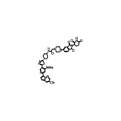 CNc1cc(-c2ccc3cc(C#N)cnn23)ncc1-c1nnc([C@H]2CC[C@H](NC(=O)CN3CCN(c4ccc5c(c4)C(=O)N(C4CCC(=O)NC4=O)C5=O)CC3)CC2)s1